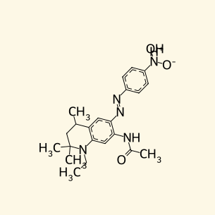 CCN1c2cc(NC(C)=O)c(N=Nc3ccc([NH+]([O-])O)cc3)cc2C(C)CC1(C)C